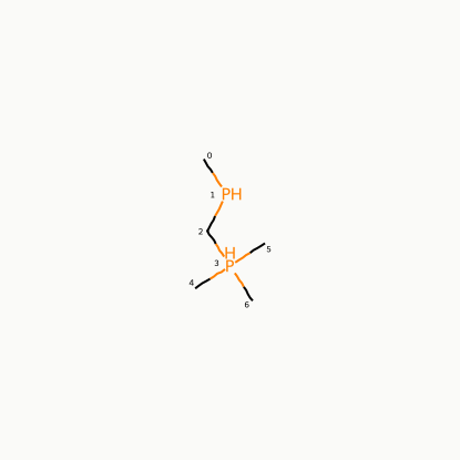 CPC[PH](C)(C)C